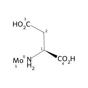 N[C@@H](CC(=O)O)C(=O)O.[Mo]